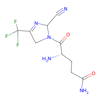 N#CC1N=C(C(F)(F)F)CN1C(=O)[C@@H](N)CCC(N)=O